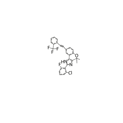 CC1(C)Oc2ccc(C#Cc3ccccc3C(F)(F)F)cc2-c2[nH]c(-c3c(F)cccc3Cl)nc21